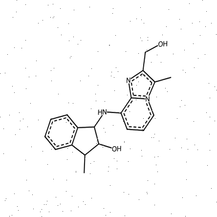 Cc1c(CO)nc2c(NC3c4ccccc4C(C)C3O)cccn12